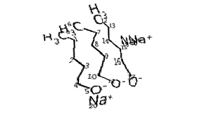 CCCCC[O-].CCCCC[O-].CCCCC[O-].[Na+].[Na+].[Na+]